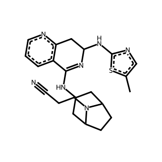 Cc1cnc(NC2Cc3ncccc3C(NC3CC4CCC(C3)N4CCC#N)=N2)s1